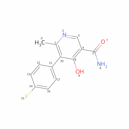 Cc1ncc(C(N)=O)c(O)c1-c1ccc(F)cc1